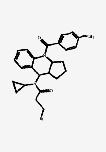 O=C(c1ccc(O)cc1)N1c2ccccc2C(N(C(=O)CCBr)C2CC2)C2CCCC21